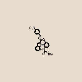 Cc1cccc(NC(=O)OC(C)(C)C)c1-n1c(C(=O)OCc2ccc([N+](=O)[O-])cc2)cc2ccccc21